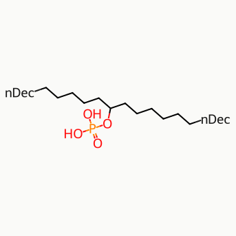 CCCCCCCCCCCCCCCCC(CCCCCCCCCCCCCCC)OP(=O)(O)O